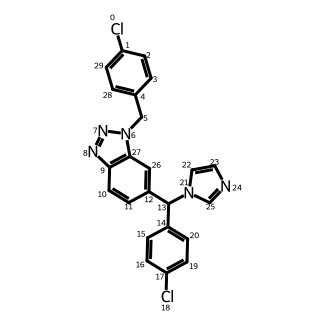 Clc1ccc(Cn2nnc3ccc(C(c4ccc(Cl)cc4)n4ccnc4)cc32)cc1